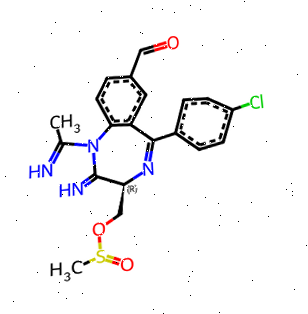 CC(=N)N1C(=N)[C@H](COS(C)=O)N=C(c2ccc(Cl)cc2)c2cc(C=O)ccc21